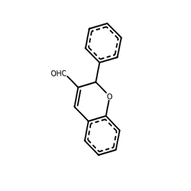 O=CC1=Cc2ccccc2OC1c1ccccc1